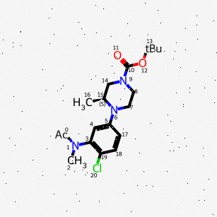 CC(=O)N(C)c1cc(N2CCN(C(=O)OC(C)(C)C)C[C@@H]2C)ccc1Cl